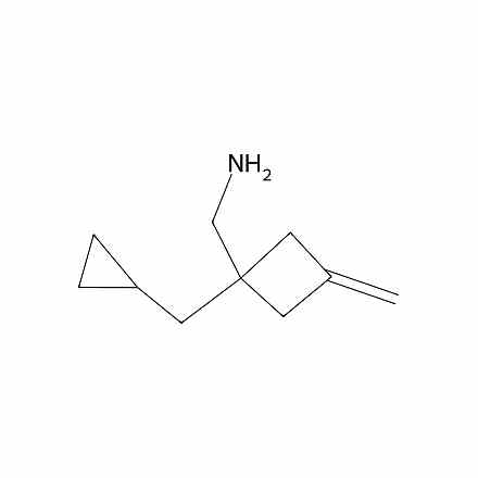 C=C1CC(CN)(CC2CC2)C1